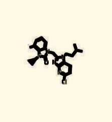 Cc1cccc2c1n(C1CC1)c(=O)n2Cc1nc2nc(Cl)ccc2n1CCC(C)C